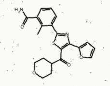 Cc1c(C(N)=O)cccc1-c1nc(-c2ccco2)c(C(=O)C2CCOCC2)s1